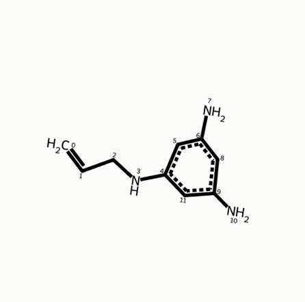 C=CCNc1cc(N)cc(N)c1